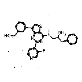 N[C@H](CNc1nc(-c2ccncc2F)nc2c(-c3cccc(CO)c3)csc12)Cc1ccccc1